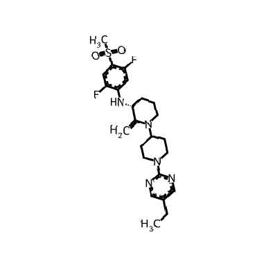 C=C1[C@H](Nc2cc(F)c(S(C)(=O)=O)cc2F)CCCN1C1CCN(c2ncc(CC)cn2)CC1